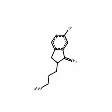 C=C1c2cc(Br)ccc2CC1CCCOC